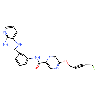 Nc1ncccc1NCc1cccc(NC(=O)c2cnc(OCC#CCF)cn2)c1